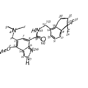 COc1c(CN(C)C)cc(C(=O)N[C@H](C)c2cccc3c2CCC3(F)F)c2n[nH]cc12